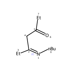 CCCC/N=C(/CC)CC(=O)CC